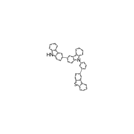 c1cc(-c2ccc3sc4ccccc4c3c2)cc(-n2c3ccccc3c3cc(-c4ccc5[nH]c6ccccc6c5c4)ccc32)c1